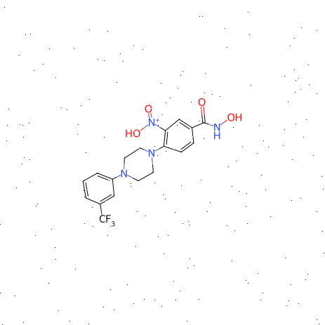 O=C(NO)c1ccc(N2CCN(c3cccc(C(F)(F)F)c3)CC2)c([N+](=O)O)c1